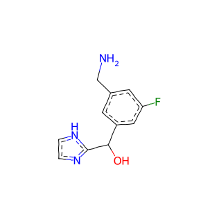 NCc1cc(F)cc(C(O)c2ncc[nH]2)c1